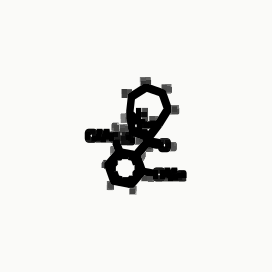 COc1cccc(OC)c1C(=O)[PH]1(S)C2CCCCC1CC2